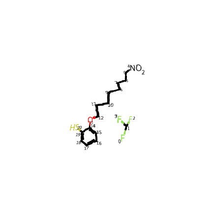 FC(F)F.O=[N+]([O-])CCCCCCCCOc1ccccc1S